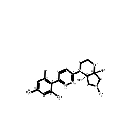 CC(=O)N1C[C@@H]2[C@@H](C1)OCCN2c1ccc(-c2c(C)cc(C(F)(F)F)cc2O)nn1